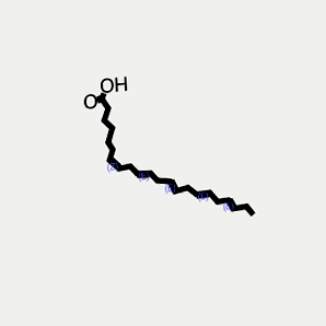 CC/C=C/C/C=C/C/C=C/C/C=C/C/C=C\CCCCCC(=O)O